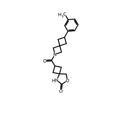 Cc1cccc(C2CC3(C2)CN(C(=O)C2CC4(COC(=O)N4)C2)C3)c1